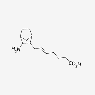 NC1C2CCC(C2)C1CC=CCCCC(=O)O